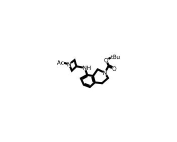 CC(=O)N1CC(Nc2cccc3c2CN(C(=O)OC(C)(C)C)CC3)C1